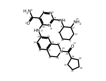 NC(=O)c1cnc(NC2CCCCC2N)nc1Nc1ccc2c(c1)CN(C(=O)C1CCCC1)CC2